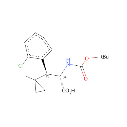 CC(C)(C)OC(=O)N[C@H](C(=O)O)[C@H](c1ccccc1Cl)C1(C)CC1